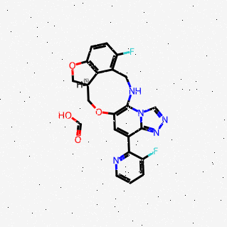 Fc1cccnc1-c1cc2c(n3cnnc13)NCc1c(F)ccc3c1[C@@H](CO3)CO2.O=CO